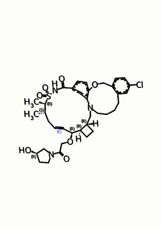 C[C@@H]1[C@@H](C)C/C=C/[C@H](OCC(=O)N2CC[C@@H](O)C2)[C@@H]2CC[C@H]2CN2CCCCc3cc(Cl)ccc3COc3ccc(cc32)C(=O)NS1(=O)=O